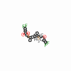 Cc1cc2cc(F)c(F)cc2cc1C(=O)/C(C=O)=C/c1cc2c(s1)C1=CC3C=C4C(=CC3C=C1C21CCCCC1)c1sc(C=C2C(=O)c3cc5cc(F)c(F)cc5cc3C2=O)cc1C41CCCCC1